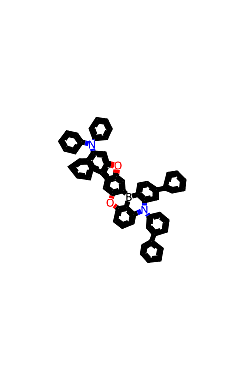 c1ccc(-c2cccc(N3c4cc(-c5ccccc5)ccc4B4c5cc6oc7cc(N(c8ccccc8)c8ccccc8)c8ccccc8c7c6cc5Oc5cccc3c54)c2)cc1